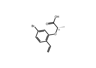 C=Cc1ccc(Br)cc1O[C@@H](C)C(=O)O